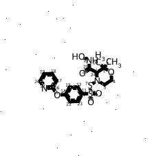 CC1(C)OCCN(SS(=O)(=O)c2ccc(Oc3ccccn3)cc2)C1C(=O)NO